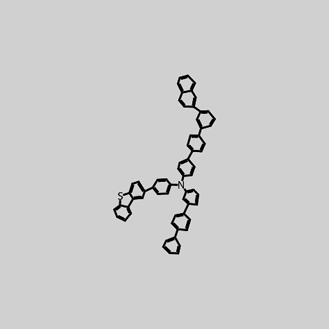 c1ccc(-c2ccc(-c3cccc(N(c4ccc(-c5ccc(-c6cccc(-c7ccc8ccccc8c7)c6)cc5)cc4)c4ccc(-c5ccc6sc7ccccc7c6c5)cc4)c3)cc2)cc1